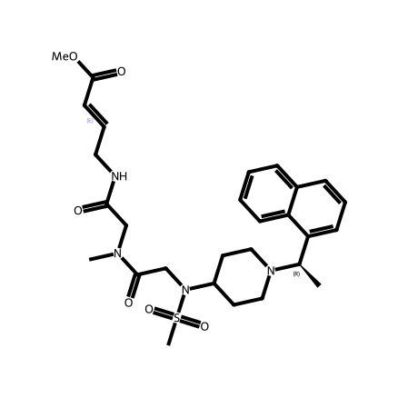 COC(=O)/C=C/CNC(=O)CN(C)C(=O)CN(C1CCN([C@H](C)c2cccc3ccccc23)CC1)S(C)(=O)=O